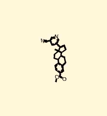 COC(=O)c1ccc2c(c1)CCC1C2CCC2(C)C(c3cncc(C#N)c3)=CCC12